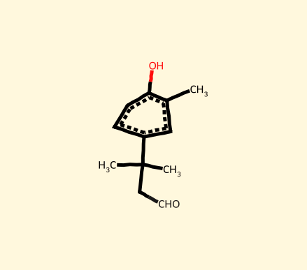 Cc1cc(C(C)(C)CC=O)ccc1O